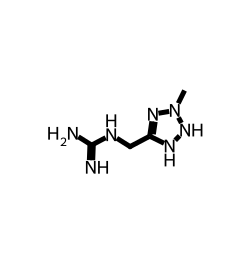 CN1N=C(CNC(=N)N)NN1